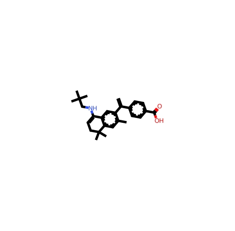 C=C(c1ccc(C(=O)O)cc1)c1cc2c(cc1C)C(C)(C)CC=C2NCC(C)(C)C